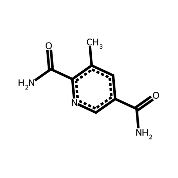 Cc1cc(C(N)=O)cnc1C(N)=O